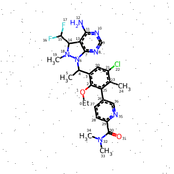 CCOc1c(C(C)N2c3ncnc(N)c3C(C(F)F)N2C)cc(Cl)c(C)c1-c1ccc(C(=O)N(C)C)nc1